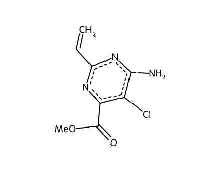 C=Cc1nc(N)c(Cl)c(C(=O)OC)n1